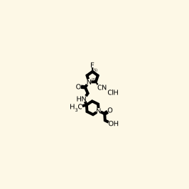 CC1(NCC(=O)N2C[C@@H](F)C[C@H]2C#N)CCN(C(=O)CO)CC1.Cl